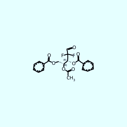 CC(=O)O[C@H](COC(=O)c1ccccc1)[C@@H](OC(=O)c1ccccc1)C(F)(F)C=O